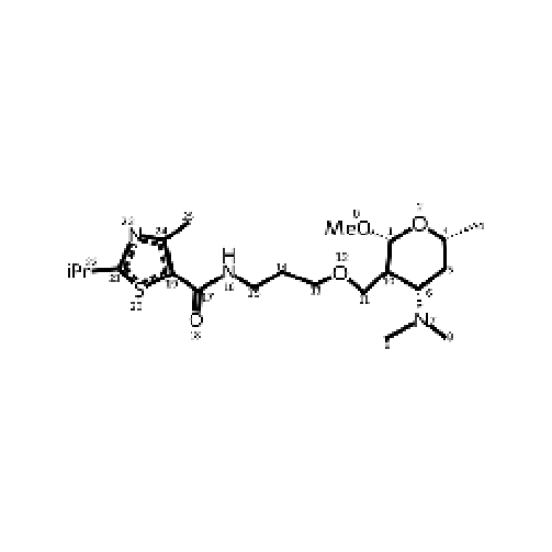 CO[C@@H]1O[C@H](C)C[C@H](N(C)C)C1COCCCNC(=O)c1sc(C(C)C)nc1C